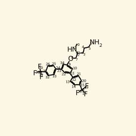 CN[C@@H](CCCN)COc1cc(-c2ccc(C(F)(F)F)cc2)cc(-c2ccc(C(F)(F)F)cc2)c1